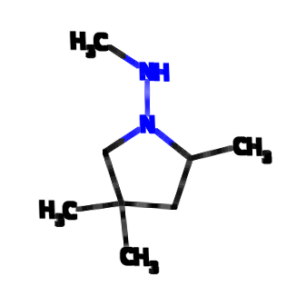 CNN1CC(C)(C)CC1C